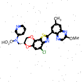 COc1cnc2c(-c3nc4c(Cl)cc5c(c4s3)OC[C@@H](CN(C(=O)O)c3cccnc3)O5)cc(C)cc2n1